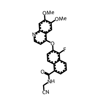 COc1cc2nccc(Oc3ccc4c(C(=O)NCC#N)cccc4c3F)c2cc1OC